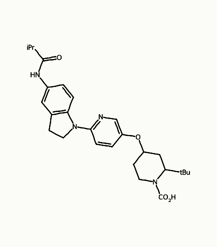 CC(C)C(=O)Nc1ccc2c(c1)CCN2c1ccc(OC2CCN(C(=O)O)C(C(C)(C)C)C2)cn1